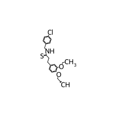 C#CCOc1ccc(CCC(=S)NCc2ccc(Cl)cc2)cc1OCC